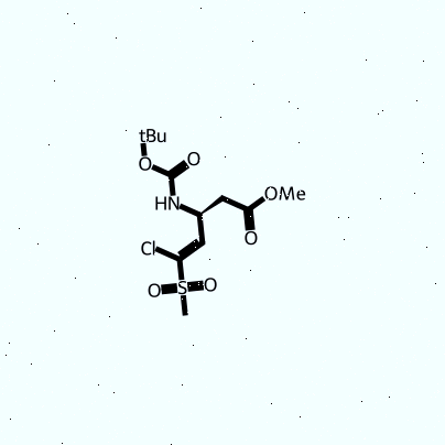 COC(=O)C[C@@H](/C=C(\Cl)S(C)(=O)=O)NC(=O)OC(C)(C)C